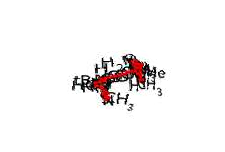 COc1c(Nc2ncc3c(n2)-c2c(c(C(N)=O)nn2C)CC3)cc(N2CCN(C)CC2)cc1C(=O)NCCOCCOCCOCCOCC(=O)NC(C(=O)N1C[C@H](O)C[C@H]1C(=O)NCc1ccc(-c2scnc2C)cc1)C(C)(C)C